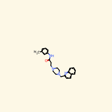 Cc1cccc(NC(=O)CCN2CCN(Cc3ccc4ccccc4n3)CC2)c1